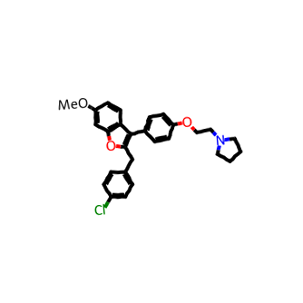 COc1ccc2c(-c3ccc(OCCN4CCCC4)cc3)c(Cc3ccc(Cl)cc3)oc2c1